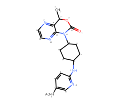 CC(=O)Nc1ccc(NC2CCC(N3C(=O)OC(C)c4nccnc43)CC2)nc1